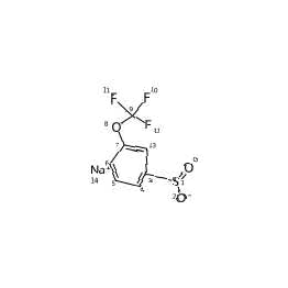 O=S([O-])c1cccc(OC(F)(F)F)c1.[Na+]